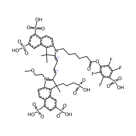 COCC[N+]1=C(/C=C/C=C2/N(CCCCCC(=O)Oc3c(F)c(F)c(S(=O)(=O)O)c(F)c3F)c3ccc4c(S(=O)(=O)O)cc(S(=O)(=O)O)cc4c3C2(C)C)C(C)(CCCS(=O)(=O)O)c2c1ccc1c(S(=O)(=O)O)cc(S(=O)(=O)O)cc21